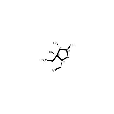 NC[C@H]1O[C@H](O)[C@@H](O)[C@]1(O)CC(=O)O